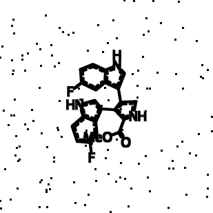 COC(=O)c1[nH]cc(-c2c[nH]c3ccc(F)cc23)c1-c1c[nH]c2ccc(F)cc12